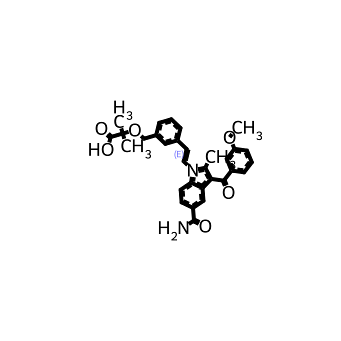 COc1cccc(C(=O)c2c(C)n(/C=C/c3cccc(COC(C)(C)C(=O)O)c3)c3ccc(C(N)=O)cc23)c1